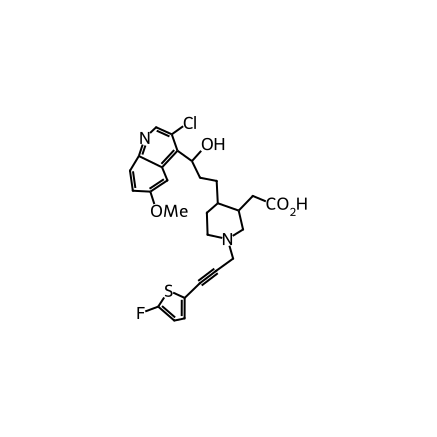 COc1ccc2ncc(Cl)c(C(O)CCC3CCN(CC#Cc4ccc(F)s4)CC3CC(=O)O)c2c1